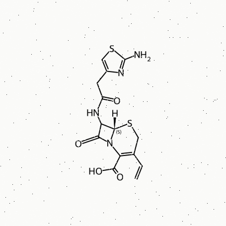 C=CC1=C(C(=O)O)N2C(=O)C(NC(=O)Cc3csc(N)n3)[C@@H]2SC1